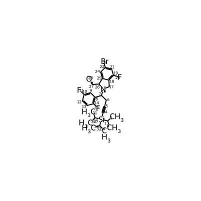 CC(C)[Si](C#CCC(c1cc(F)ccc1F)N1Cc2c(F)cc(Br)cc2C1C=O)(C(C)C)C(C)C